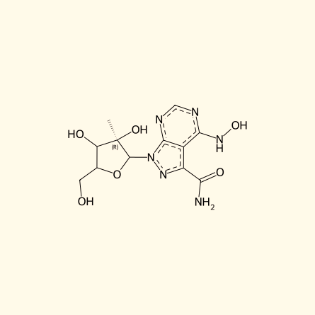 C[C@@]1(O)C(O)C(CO)OC1n1nc(C(N)=O)c2c(NO)ncnc21